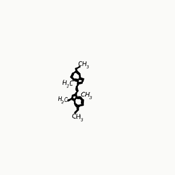 C=Cc1cc(/C=C/c2ccc3cc(CCC)ccc(C)c2-3)c2c(C)ccc(CCC)cc1-2